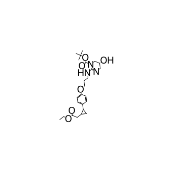 CCOC(=O)CC1CC1c1ccc(OCCCNC2=NCC(O)CN2C(=O)OC(C)(C)C)cc1